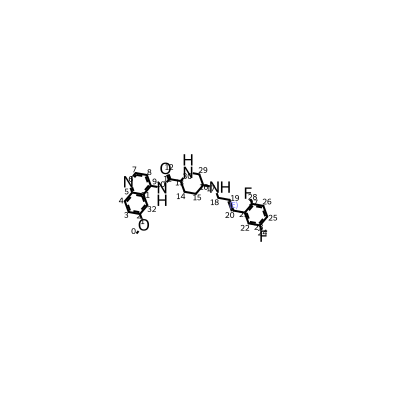 COc1ccc2nccc(NC(=O)C3CCC(NC/C=C/c4cc(F)ccc4F)CN3)c2c1